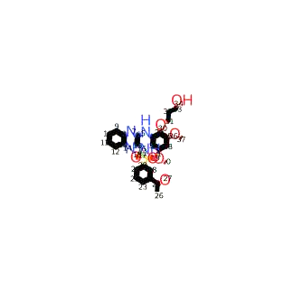 COc1cc(Nc2nc3ccccc3nc2NS(=O)(=O)c2cccc(C(C)=O)c2)c(OCCCO)c(OC)c1